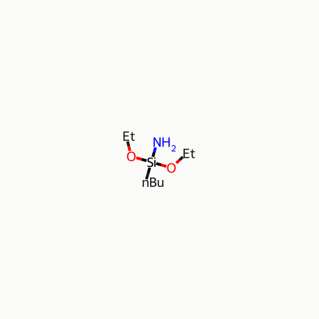 CCCC[Si](N)(OCC)OCC